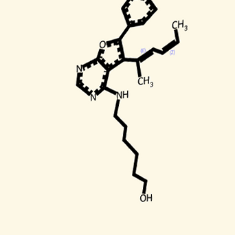 C/C=C\C=C(/C)c1c(-c2ccccc2)oc2ncnc(NCCCCCCO)c12